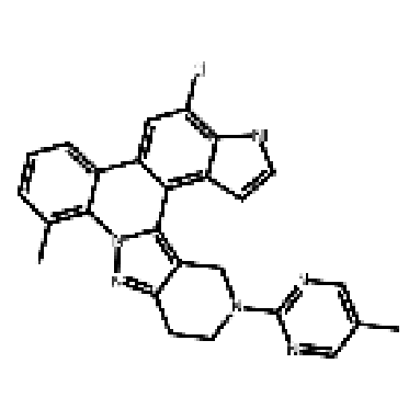 Cc1cnc(N2CCc3nn4c5c(C)cccc5c5cc(Cl)c6[nH]ccc6c5c4c3C2)nc1